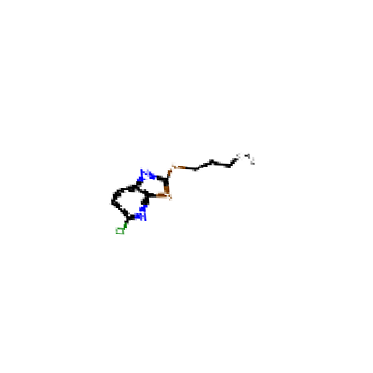 CCCCSc1nc2ccc(Cl)nc2s1